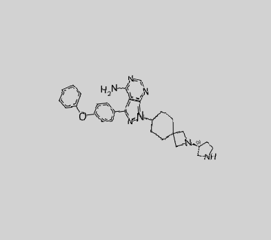 Nc1ncnc2c1c(-c1ccc(Oc3ccccc3)cc1)nn2C1CCC2(CC1)CN([C@H]1CCNC1)C2